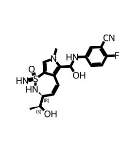 C[C@H](O)[C@H]1C=Cc2c(cn(C)c2C(O)Nc2ccc(F)c(C#N)c2)S(=N)(=O)N1